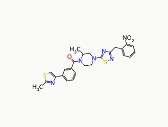 Cc1nc(-c2cccc(C(=O)N3CCN(c4nc(Cc5ccccc5[N+](=O)[O-])ns4)CC3C)c2)cs1